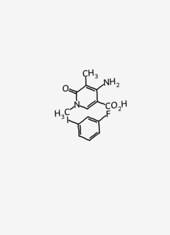 Cc1c(N)c(C(=O)O)cn(C)c1=O.Fc1cccc(I)c1